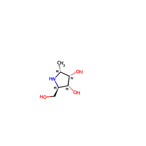 C[C@H]1N[C@H](CO)[C@@H](O)[C@H]1O